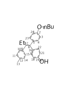 CCCCOc1ccc(/C(=C(\CC)c2ccc(C)cc2)c2ccc(O)cc2)cc1